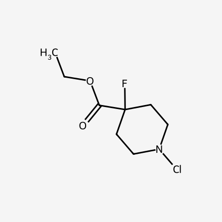 CCOC(=O)C1(F)CCN(Cl)CC1